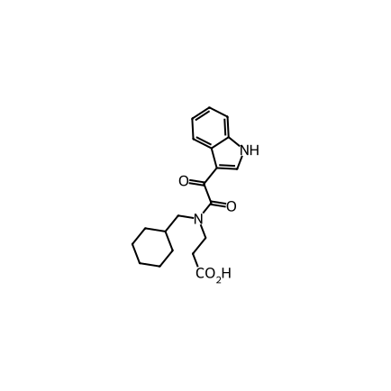 O=C(O)CCN(CC1CCCCC1)C(=O)C(=O)c1c[nH]c2ccccc12